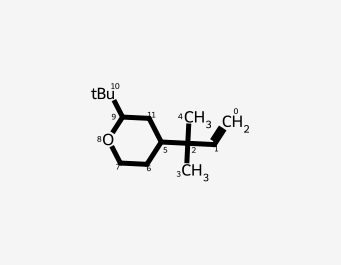 C=CC(C)(C)C1CCOC(C(C)(C)C)C1